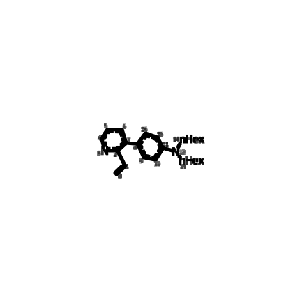 C=Cc1ncccc1-c1ccc(N(CCCCCC)CCCCCC)cc1